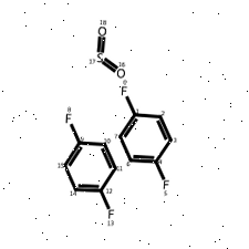 Fc1ccc(F)cc1.Fc1ccc(F)cc1.O=S=O